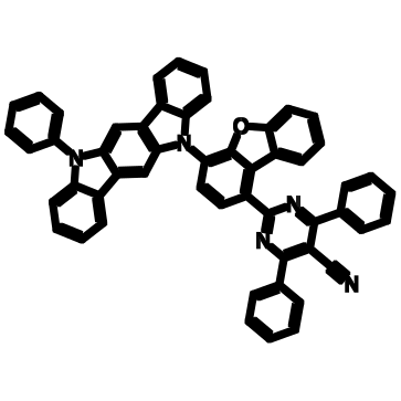 N#Cc1c(-c2ccccc2)nc(-c2ccc(-n3c4ccccc4c4cc5c(cc43)c3ccccc3n5-c3ccccc3)c3oc4ccccc4c23)nc1-c1ccccc1